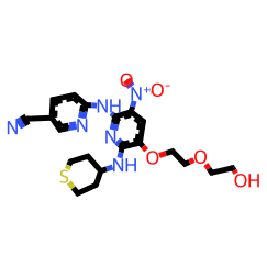 N#Cc1ccc(Nc2nc(NC3CCSCC3)c(OCCOCCO)cc2[N+](=O)[O-])nc1